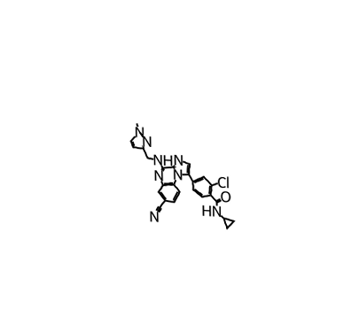 Cn1ccc(CNc2nc3cc(C#N)ccc3n3c(-c4ccc(C(=O)NC5CC5)c(Cl)c4)cnc23)n1